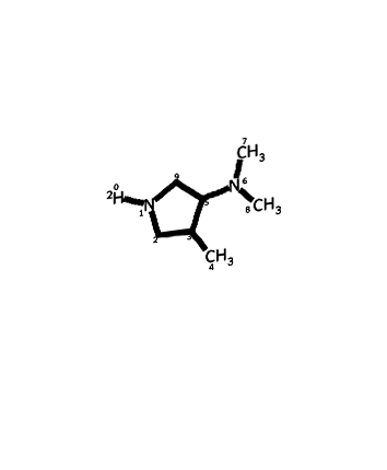 [2H]N1CC(C)C(N(C)C)C1